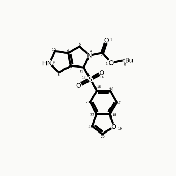 CC(C)(C)OC(=O)N1CC2=C(CNC2)C1S(=O)(=O)c1ccc2occc2c1